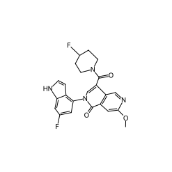 COc1cc2c(=O)n(-c3cc(F)cc4[nH]ccc34)cc(C(=O)N3CCC(F)CC3)c2cn1